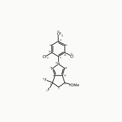 COC1CC(F)(F)c2nn(-c3c(Cl)cc(C(F)(F)F)cc3Cl)cc21